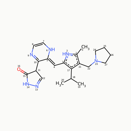 Cc1[nH]c(C=C2NC=CN=C2C2C=NNC2=O)c(C(C)C)c1CN1CCCC1